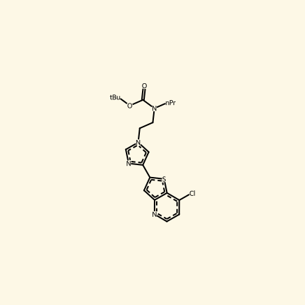 CCCN(CCn1cnc(-c2cc3nccc(Cl)c3s2)c1)C(=O)OC(C)(C)C